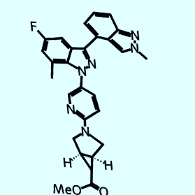 COC(=O)C1[C@H]2CN(c3ccc(-n4nc(-c5cccc6nn(C)cc56)c5cc(F)cc(C)c54)cn3)C[C@@H]12